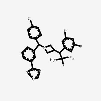 CC(C)(F)C(c1cc(F)cc(Br)c1)C1CN(C(c2ccc(Cl)cc2)c2cccc(-c3ncon3)c2)C1